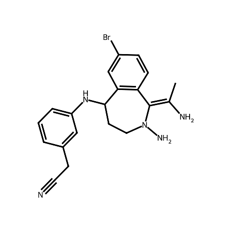 C/C(N)=C1\c2ccc(Br)cc2C(Nc2cccc(CC#N)c2)CCN1N